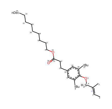 C/C=C(\C)[SiH2]Oc1c(C(C)(C)C)cc(CCC(=O)OCCCCCCCCCCCCCCCCCC)cc1C(C)(C)C